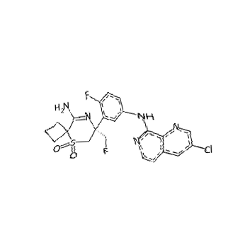 NC1=N[C@@](CF)(c2cc(Nc3nccc4cc(Cl)cnc34)ccc2F)CS(=O)(=O)C12CCC2